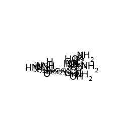 NCC1OC(OC2C(N)CC(N)C(O)C2O)C(N)C(O)C1OCCCCCCNC(=O)C(N)Cc1c[nH]cn1